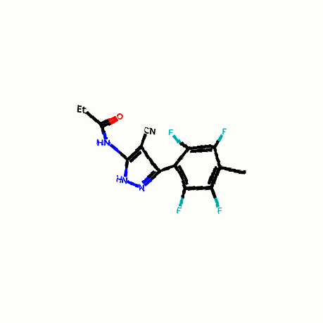 CCC(=O)Nc1[nH]nc(-c2c(F)c(F)c(C)c(F)c2F)c1C#N